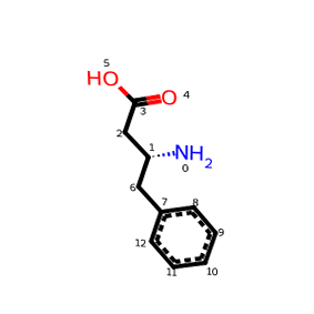 N[C@@H](CC(=O)O)Cc1ccccc1